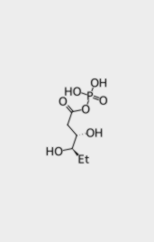 CC[C@@H](O)[C@@H](O)CC(=O)OP(=O)(O)O